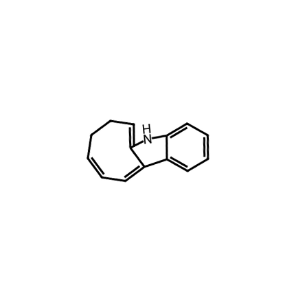 C1=C\CC\C=c2/[nH]c3ccccc3/c2=C/1